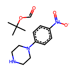 CC(C)(C)OC=O.O=[N+]([O-])c1ccc(N2CCNCC2)cc1